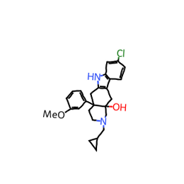 COc1cccc(C23CCN(CC4CC4)CC2(O)Cc2c([nH]c4cc(Cl)ccc24)C3)c1